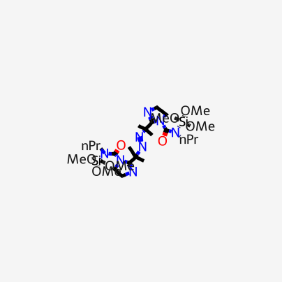 CCCN(C(=O)N1CCN=C1C(C)(C)/N=N/C(C)(C)C1=NCCN1C(=O)N(CCC)[Si](OC)(OC)OC)[Si](OC)(OC)OC